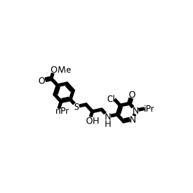 CCCc1cc(C(=O)OC)ccc1SCC(O)CNc1cnn(C(C)C)c(=O)c1Cl